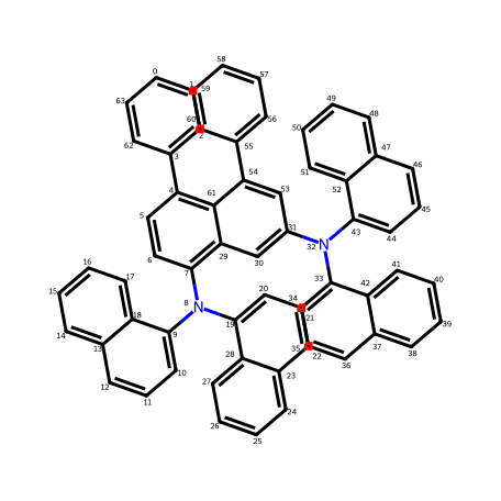 c1ccc(-c2ccc(N(c3cccc4ccccc34)c3cccc4ccccc34)c3cc(N(c4cccc5ccccc45)c4cccc5ccccc45)cc(-c4ccccc4)c23)cc1